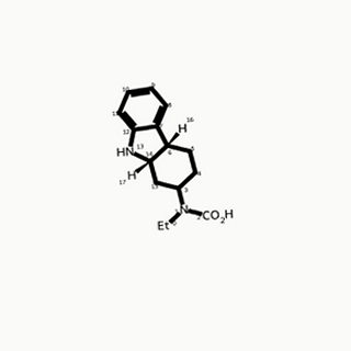 CCN(C(=O)O)C1CC[C@H]2c3ccccc3N[C@H]2C1